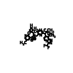 Cc1cnc2c(c1)S(=O)(=O)N(Cc1nc(C(c3ccn4c(C(F)F)nnc4c3C)C(C)(C)C)ccc1C)CC1(CNC1)O2